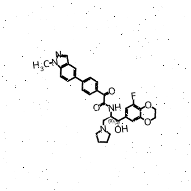 Cn1ncc2cc(-c3ccc(C(=O)C(=O)N[C@H](CN4CCCC4)[C@@H](O)c4cc(F)c5c(c4)OCCO5)cc3)ccc21